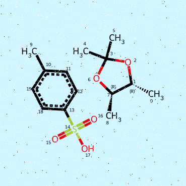 C[C@H]1OC(C)(C)O[C@@H]1C.Cc1ccc(S(=O)(=O)O)cc1